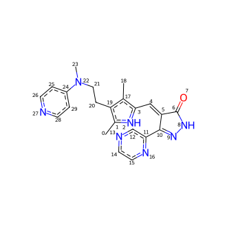 Cc1[nH]c(/C=C2/C(=O)NN=C2c2cnccn2)c(C)c1CCN(C)c1ccncc1